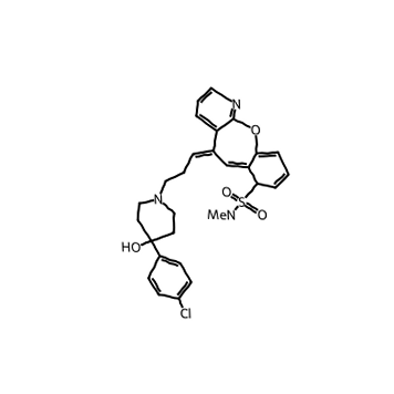 CNS(=O)(=O)C1C=CC=C2Oc3ncccc3C(=CCCN3CCC(O)(c4ccc(Cl)cc4)CC3)C=C21